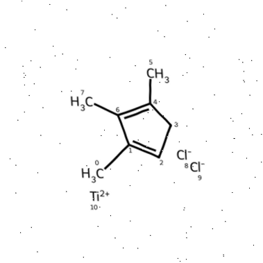 CC1=CCC(C)=C1C.[Cl-].[Cl-].[Ti+2]